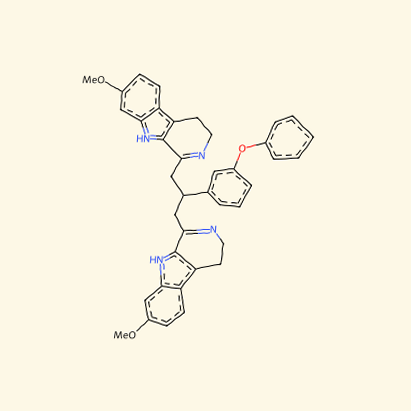 COc1ccc2c3c([nH]c2c1)C(CC(CC1=NCCc2c1[nH]c1cc(OC)ccc21)c1cccc(Oc2ccccc2)c1)=NCC3